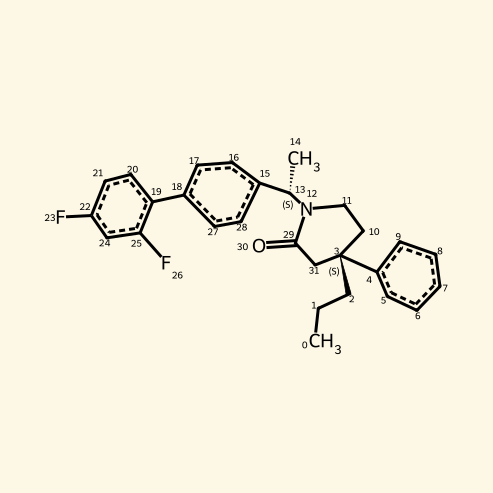 CCC[C@]1(c2ccccc2)CCN([C@@H](C)c2ccc(-c3ccc(F)cc3F)cc2)C(=O)C1